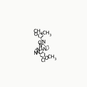 COc1cc(C)cc(-c2nc(C3CCCN3C(=O)c3cc(OC)c(Cl)cc3-n3nccn3)no2)c1